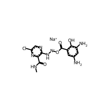 CNC(=O)c1nc(Cl)cnc1N[N-]OC(=O)c1cc(N)cc(N)c1O.[Na+]